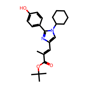 C/C(=C\c1cn(C2CCCCC2)c(-c2ccc(O)cc2)n1)C(=O)OC(C)(C)C